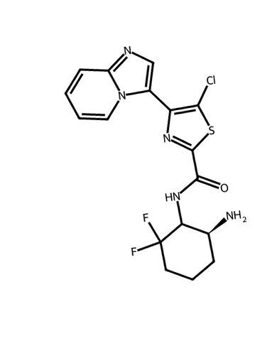 N[C@H]1CCCC(F)(F)C1NC(=O)c1nc(-c2cnc3ccccn23)c(Cl)s1